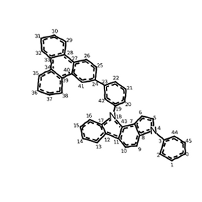 c1ccc(-n2ccc3c2ccc2c4ccccc4n(-c4cccc(-c5ccc6c7ccccc7c7ccccc7c6c5)c4)c23)cc1